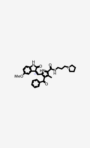 COc1ccc2c(c1)/C(=C/c1[nH]c(C(=O)NCCCN3CCCC3)c(C)c1C(=O)c1ccccc1)C(=O)N2